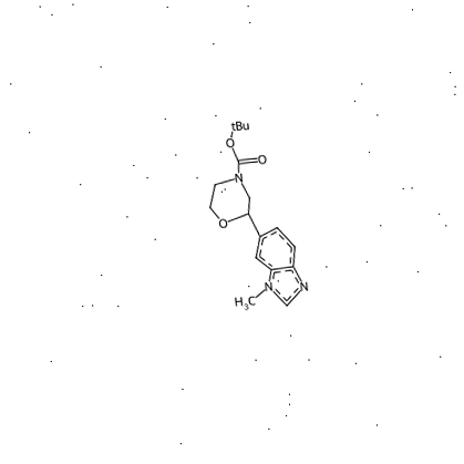 Cn1cnc2ccc(C3CN(C(=O)OC(C)(C)C)CCO3)cc21